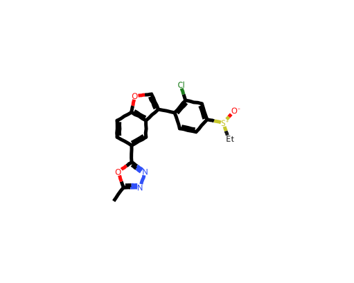 CC[S+]([O-])c1ccc(-c2coc3ccc(-c4nnc(C)o4)cc23)c(Cl)c1